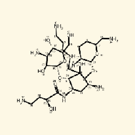 NCCCNCC1(O)C(O[C@H]2OC(CN)CCC2N)[C@@H](N)C[C@@H](NC(=O)[C@@H](O)CCN)[C@@H]1O[C@H]1OC(CO)[C@@H](O)[C@H](N)C1O